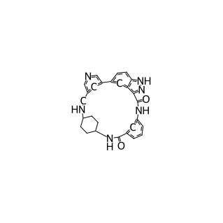 O=C1NC2CCC(CC2)NCc2cncc(c2)-c2ccc3[nH]nc(c3c2)C(=O)Nc2cccc1c2